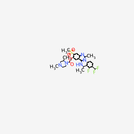 Cc1nc(N[C@H](C)c2cccc(C(F)F)c2F)c2cc(OC(=O)N3CCN(C)CC3C)c(S(C)(=O)=O)cc2n1